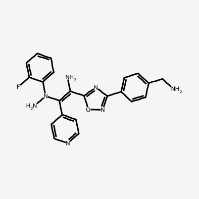 NCc1ccc(-c2noc(/C(N)=C(\c3ccncc3)N(N)c3ccccc3F)n2)cc1